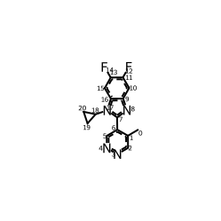 Cc1cnncc1-c1nc2cc(F)c(F)cc2n1C1CC1